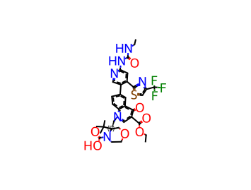 CCNC(=O)Nc1cc(-c2nc(C(F)(F)F)cs2)c(-c2ccc3c(c2)c(=O)c(C(=O)OCC)cn3C[C@@]2(C(C)(C)C)COCCN2C(=O)O)cn1